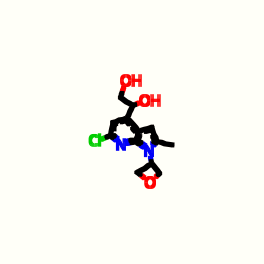 Cc1cc2c(C(O)CO)cc(Cl)nc2n1C1COC1